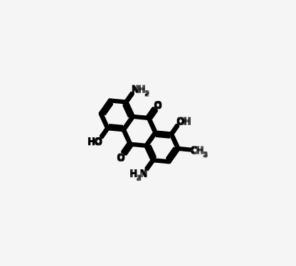 Cc1cc(N)c2c(c1O)C(=O)c1c(N)ccc(O)c1C2=O